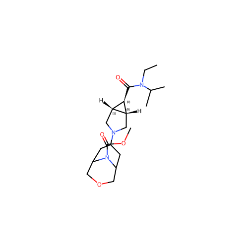 CCN(C(=O)[C@H]1[C@@H]2CN(C3CC4COCC(C3)N4C(=O)OC)C[C@@H]21)C(C)C